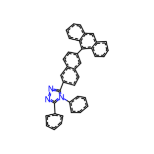 c1ccc(-c2nnc(-c3ccc4cc(-c5c6ccccc6cc6ccccc56)ccc4c3)n2-c2ccccc2)cc1